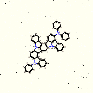 c1ccc(N(c2ccccc2)c2ccc3c4c5c6ccccc6n6c7ccc8c(c9ccccc9n8-c8ccccc8)c7c(cc4n4c7ccccc7c2c34)c56)cc1